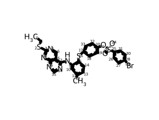 CCSc1ncc2c(Nc3cc(C)ccc3Sc3ccc(OS(=O)(=O)c4ccc(Br)cc4)cc3)ncnc2n1